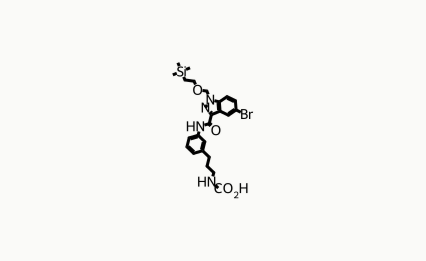 C[Si](C)(C)CCOCn1nc(C(=O)Nc2cccc(CCCNC(=O)O)c2)c2cc(Br)ccc21